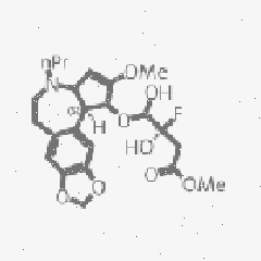 CCCN1CCc2cc3c(cc2[C@@H]2C(OC(O)[C@@](O)(F)CC(=O)OC)C(OC)=CC21)OCO3